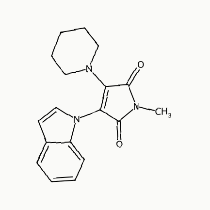 CN1C(=O)C(N2CCCCC2)=C(n2ccc3ccccc32)C1=O